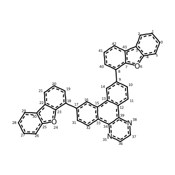 c1ccc2c(c1)oc1c(-c3ccc4c(c3)c3cc(-c5cccc6c5oc5ccccc56)ccc3c3nccnc43)cccc12